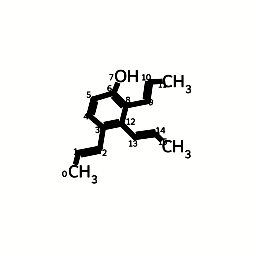 CC=Cc1ccc(O)c(C=CC)c1C=CC